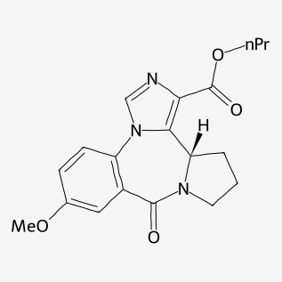 CCCOC(=O)c1ncn2c1[C@@H]1CCCN1C(=O)c1cc(OC)ccc1-2